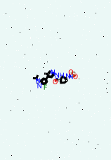 Cc1cnc(NC(=O)[C@H]2CCC[C@@H](N=NS(C)(=O)=O)C2)cc1-c1cc(F)c2ncn(C(C)C)c2c1